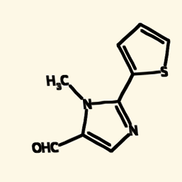 Cn1c(C=O)cnc1-c1cccs1